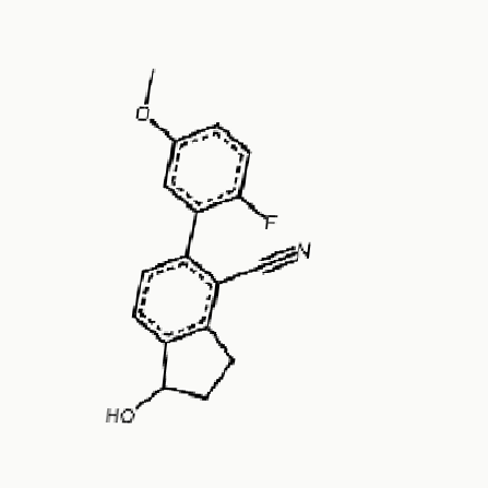 COc1ccc(F)c(-c2ccc3c(c2C#N)CCC3O)c1